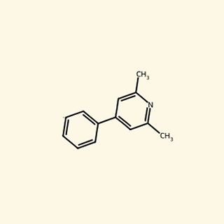 Cc1cc(-c2c[c]ccc2)cc(C)n1